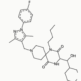 CCCCN1C(=O)C(C(O)C2CCCCC2)NC(=O)C12CCN(Cc1c(C)nn(-c3ccc(F)cc3)c1C)CC2